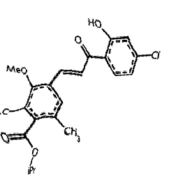 COc1c(C=CC(=O)c2ccc(Cl)cc2O)cc(C)c(C(=O)OC(C)C)c1C